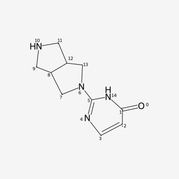 O=c1[c]cnc(N2CC3CNCC3C2)[nH]1